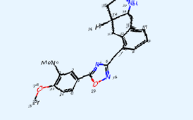 CNc1cc(-c2nc(-c3cccc4c3C[C@@H]3CCNC43)no2)ccc1OC(C)C